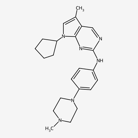 Cc1cn(C2CCCC2)c2nc(Nc3ccc(N4CCN(C)CC4)cc3)ncc12